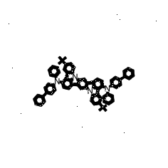 CC(C)(C)c1ccc2c(c1)c1c(N(c3ccccc3)c3ccc(-c4ccccc4)cc3)ccc3c4cc5c(cc4n2c31)c1ccc(N(c2ccccc2)c2ccc(-c3ccccc3)cc2)c2c3cc(C(C)(C)C)ccc3n5c12